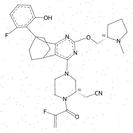 C=C(F)C(=O)N1CCN(c2nc(OC[C@@H]3CCCN3C)nc3c2C2CCC(c4c(O)cccc4F)(CC2)C3)C[C@@H]1CC#N